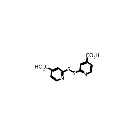 O=C(O)c1ccnc(SSc2cc(C(=O)O)ccn2)c1